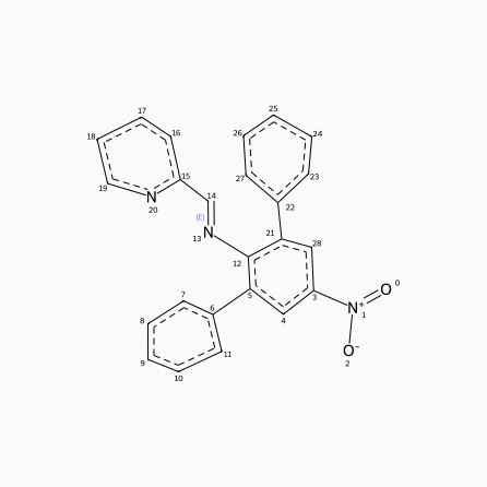 O=[N+]([O-])c1cc(-c2ccccc2)c(/N=C/c2ccccn2)c(-c2ccccc2)c1